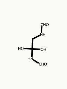 O=CNCC(O)(O)NC=O